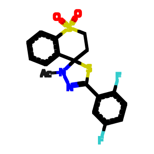 CC(=O)N1N=C(c2cc(F)ccc2F)SC12CCS(=O)(=O)c1ccccc12